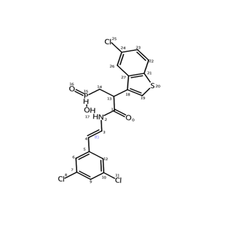 O=C(N/C=C/c1cc(Cl)cc(Cl)c1)C(C[PH](=O)O)c1csc2ccc(Cl)cc12